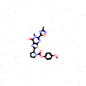 COc1ccc(OC(=O)N2CCCC2c2nc3c(=O)n(C)c(-c4nc(C)no4)nc3s2)cc1